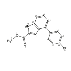 COC(=O)c1cc2c(-c3ccc(Br)cc3)nccc2[nH]1